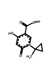 COC(=O)c1cn(C2(C)CC2)c(=O)cc1O